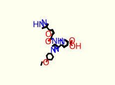 CCOC1CCC(n2cc(NC(=O)c3ccc(-c4cn[nH]c4)o3)c(-c3ccccn3)n2)CC1.O=CO